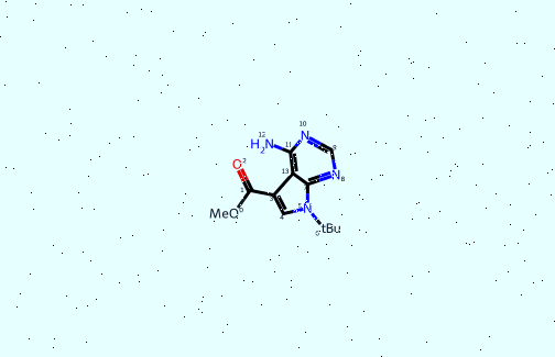 COC(=O)c1cn(C(C)(C)C)c2ncnc(N)c12